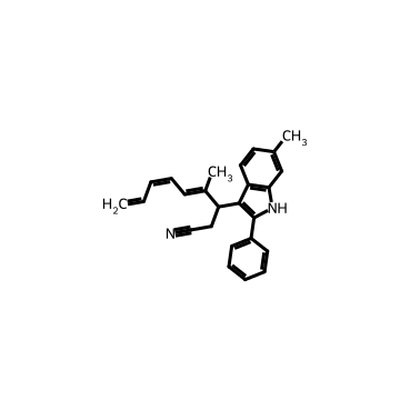 C=C/C=C\C=C(/C)C(CC#N)c1c(-c2ccccc2)[nH]c2cc(C)ccc12